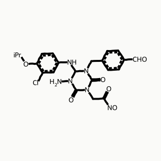 CC(C)Oc1ccc(NC2N(N)C(=O)N(CC(=O)N=O)C(=O)N2Cc2ccc(C=O)cc2)cc1Cl